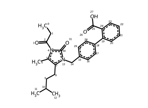 CCC(=O)n1c(C)c(CCC(C)C)n(Cc2ccc(-c3ccccc3C(=O)O)cc2)c1=O